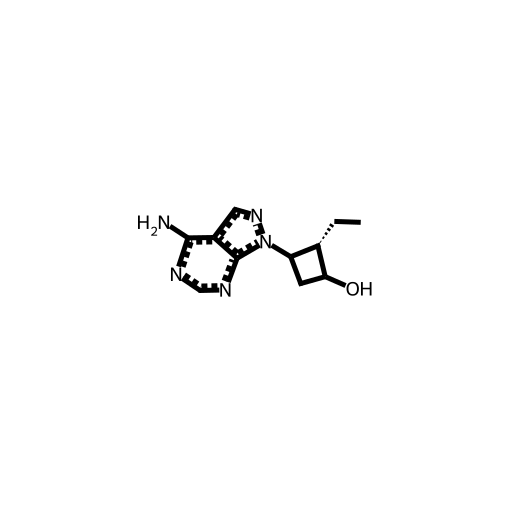 CC[C@@H]1C(O)CC1n1ncc2c(N)ncnc21